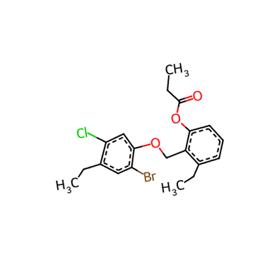 CCC(=O)Oc1cccc(CC)c1COc1cc(Cl)c(CC)cc1Br